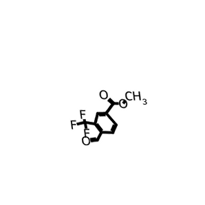 COC(=O)c1ccc(C=O)c(C(F)(F)F)c1